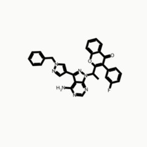 CC(c1oc2ccccc2c(=O)c1-c1cccc(F)c1)n1nc(-c2cnn(Cc3ccccc3)c2)c2c(N)ncnc21